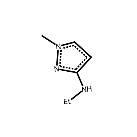 CCNc1ccn(C)n1